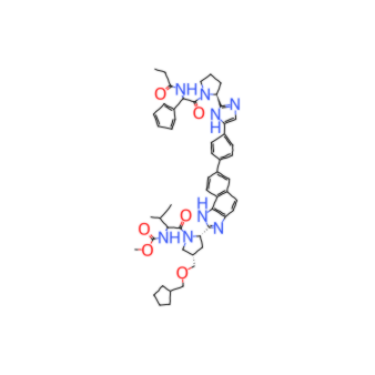 CCC(=O)N[C@@H](C(=O)N1CCC[C@H]1c1ncc(-c2ccc(-c3ccc4c(ccc5nc([C@@H]6C[C@H](COCC7CCCC7)CN6C(=O)[C@@H](NC(=O)OC)C(C)C)[nH]c54)c3)cc2)[nH]1)c1ccccc1